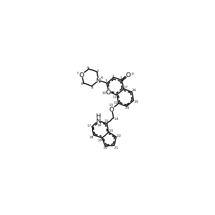 O=c1cc(N2CCOCC2)oc2c(OCc3[nH]ccc4cccc3-4)cccc12